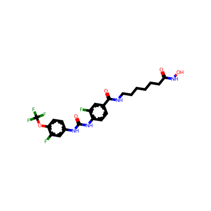 O=C(CCCCCCNC(=O)c1ccc(NC(=O)Nc2ccc(OC(F)(F)F)c(F)c2)c(F)c1)NO